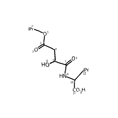 CC(C)OC(=O)CC(O)C(=O)NC(C(=O)O)C(C)C